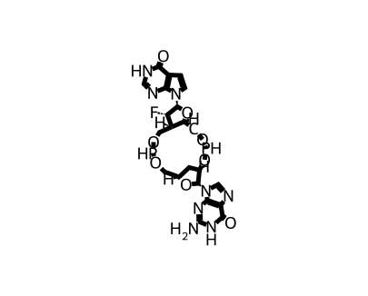 Nc1nc2c(ncn2[C@@H]2O[C@@H]3COPOC[C@H]4[C@H](F)[C@H](n5ccc6c(=O)[nH]cnc65)O[C@@H]4COPO[C@@H]2C3)c(=O)[nH]1